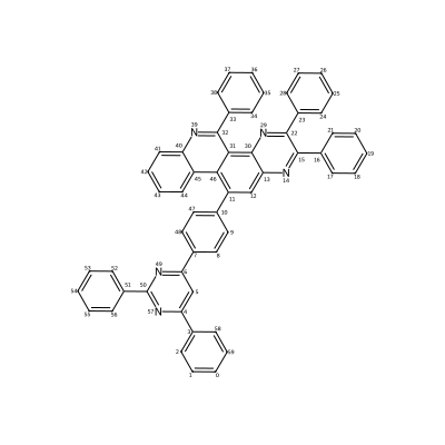 c1ccc(-c2cc(-c3ccc(-c4cc5nc(-c6ccccc6)c(-c6ccccc6)nc5c5c(-c6ccccc6)nc6ccccc6c45)cc3)nc(-c3ccccc3)n2)cc1